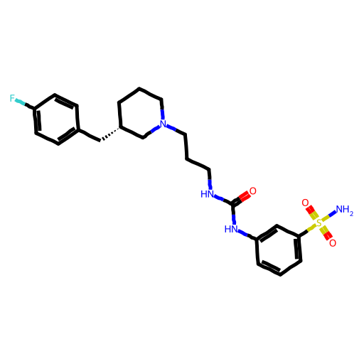 NS(=O)(=O)c1cccc(NC(=O)NCCCN2CCC[C@@H](Cc3ccc(F)cc3)C2)c1